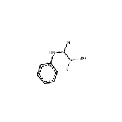 CCC(Nc1ccccc1)[C@@H](C)[C@@H](C)CC